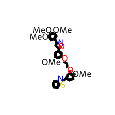 COc1ccc(-c2nc3ccccc3s2)cc1OCCCOc1cc(C2CC(c3cc(OC)c(OC)c(OC)c3)=NO2)ccc1OC